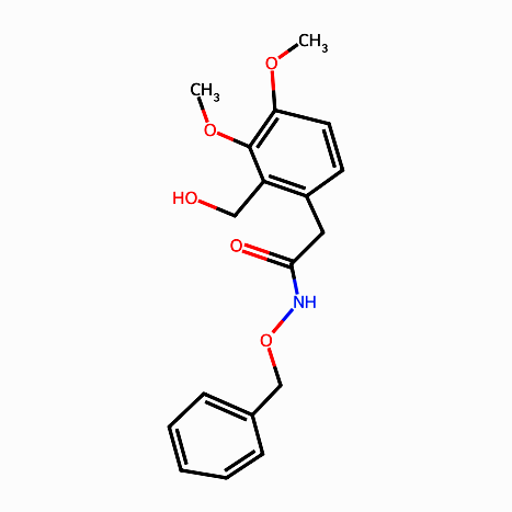 COc1ccc(CC(=O)NOCc2ccccc2)c(CO)c1OC